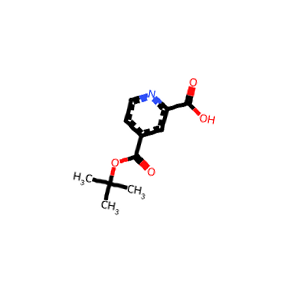 CC(C)(C)OC(=O)c1ccnc(C(=O)O)c1